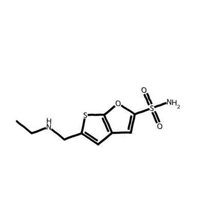 CCNCc1cc2cc(S(N)(=O)=O)oc2s1